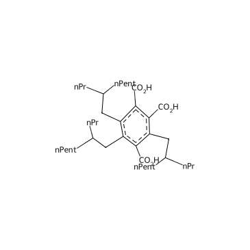 CCCCCC(CCC)Cc1c(CC(CCC)CCCCC)c(C(=O)O)c(C(=O)O)c(CC(CCC)CCCCC)c1C(=O)O